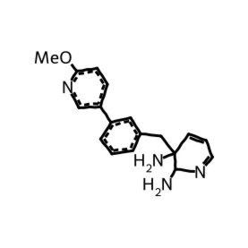 COc1ccc(-c2cccc(CC3(N)C=CC=NC3N)c2)cn1